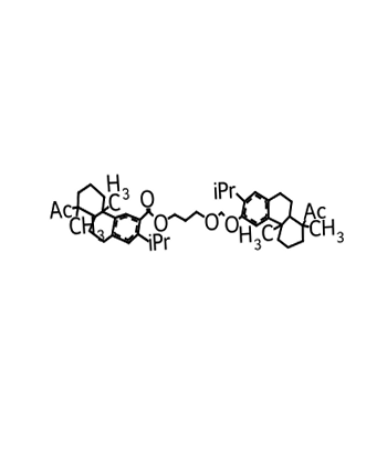 CC(=O)C1(C)CCCC2(C)c3cc(OCOCCCOC(=O)c4cc5c(cc4C(C)C)CCC4C(C)(C(C)=O)CCCC54C)c(C(C)C)cc3CCC12